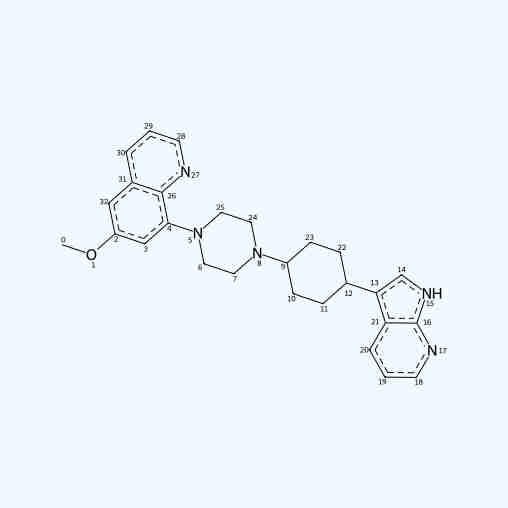 COc1cc(N2CCN(C3CCC(c4c[nH]c5ncccc45)CC3)CC2)c2ncccc2c1